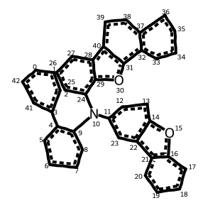 c1ccc(-c2ccccc2N(c2ccc3oc4ccccc4c3c2)c2cccc3c2oc2c4ccccc4ccc32)cc1